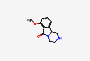 COc1cccc2c1C(=O)N1CCNCC21